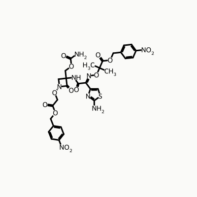 CC(C)(ON=C(C(=O)NC1(COC(N)=O)CN(OCC(=O)OCc2ccc([N+](=O)[O-])cc2)C1=O)c1csc(N)n1)C(=O)OCc1ccc([N+](=O)[O-])cc1